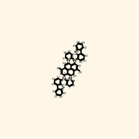 CC1=CC(N(c2ccccn2)c2cccc3c2sc2ccccc23)C2=CCc3c(C)cc(N(c4ccccn4)c4cccc5c4sc4ccccc45)c4ccc1c2c34